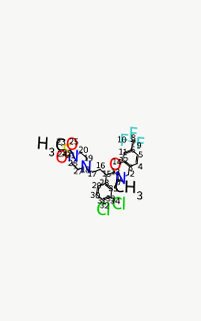 CN(Cc1ccc(C(F)(F)F)cc1)C(=O)C(CCN1CCN(S(C)(=O)=O)CC1)c1ccc(Cl)c(Cl)c1